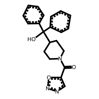 O=C(c1cnno1)N1CCC(C(O)(c2ccccc2)c2ccccc2)CC1